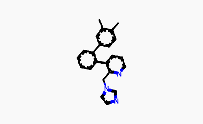 Cc1ccc(-c2ccccc2-c2cccnc2Cn2ccnc2)cc1C